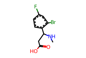 CNC(CC(=O)O)c1ccc(F)cc1Br